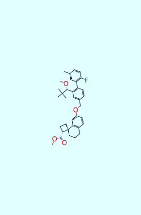 COC(=O)[C@@H]1CC[C@@]12CCCc1ccc(OCc3ccc(-c4cc(C)ccc4F)c([C@@H](OC)C(C)(C)C)c3)cc12